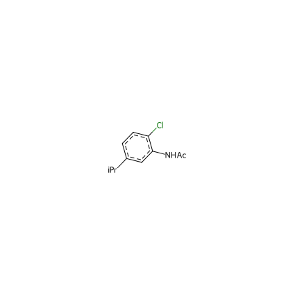 CC(=O)Nc1cc(C(C)C)ccc1Cl